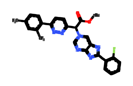 CCCCOC(=O)C(c1ccc(-c2ccc(C(F)(F)F)cc2C(F)(F)F)nn1)n1cnc2nc(-c3ccccc3F)nc-2c1